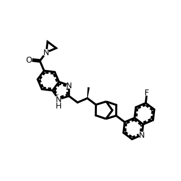 C[C@H](Cc1nc2cc(C(=O)N3CC3)ccc2[nH]1)C1CC2CC1CC2c1ccnc2ccc(F)cc12